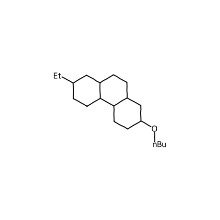 CCCCOC1CCC2C(CCC3CC(CC)CCC32)C1